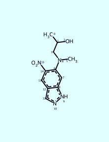 CC(O)CN(C)c1cc2[nH]ncc2cc1[N+](=O)[O-]